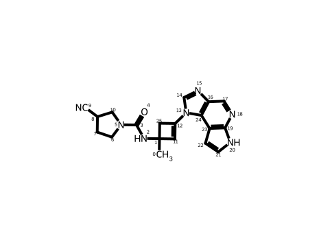 CC1(NC(=O)N2CCC(C#N)C2)C=C(n2cnc3cnc4[nH]ccc4c32)C1